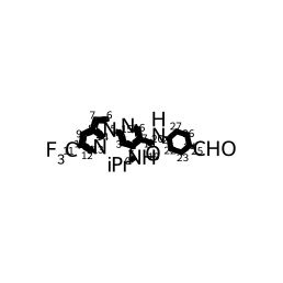 CC(C)Nc1cc(-n2ccc3cc(C(F)(F)F)cnc32)ncc1C(=O)N[C@H]1CC[C@H](C=O)CC1